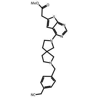 COC(=O)Cc1cc2c(N3CCC4(CCN(Cc5ccc(CC#N)cc5)C4)C3)ncnc2s1